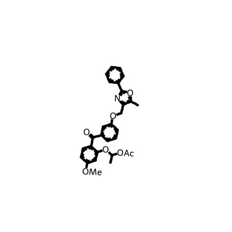 COc1ccc(C(=O)c2cccc(OCc3nc(-c4ccccc4)oc3C)c2)c(OC(C)OC(C)=O)c1